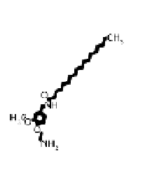 CCCCCCCCCCCCCCCCCC(=O)NCc1ccc(OCCN)c(OC)c1